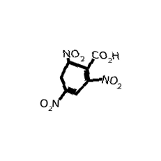 O=C(O)C1=C([N+](=O)[O-])C=C([N+](=O)[O-])CC1[N+](=O)[O-]